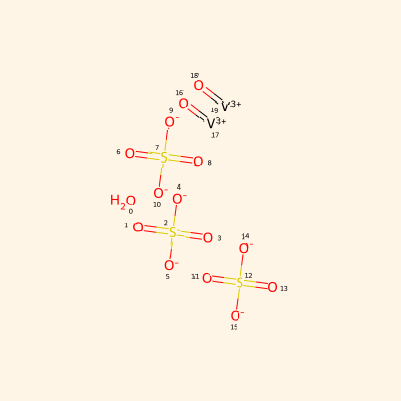 O.O=S(=O)([O-])[O-].O=S(=O)([O-])[O-].O=S(=O)([O-])[O-].[O]=[V+3].[O]=[V+3]